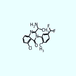 Cc1ccc(C(F)F)cc1-n1c([C@H](C)N)nc2cccc(Cl)c2c1=O